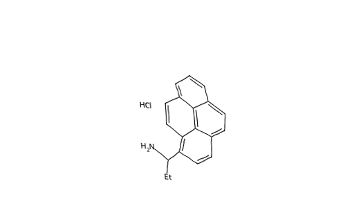 CCC(N)c1ccc2ccc3cccc4ccc1c2c34.Cl